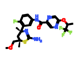 COC[C@@]1(C)C[C@@](C)(c2cc(NC(=O)c3cnc(OC(C)C(F)(F)F)cn3)ccc2F)N=C(N)S1